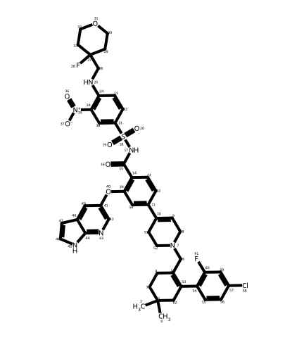 CC1(C)CCC(CN2CC=C(c3ccc(C(=O)NS(=O)(=O)c4ccc(NCC5(F)CCOCC5)c([N+](=O)[O-])c4)c(Oc4cnc5[nH]ccc5c4)c3)CC2)=C(c2ccc(Cl)cc2F)C1